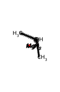 CCCCCCCCCCCCCCCCCCOP(=O)(O)OCCCCCCCCCCCCCCCCCC.[MgH2].[MgH2].[MgH2]